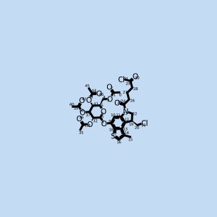 CC(=O)OC[C@H]1OC(Oc2cc3c(c4c(C)csc24)[C@H](CCl)CN3C(=O)CCCC(=O)Cl)[C@H](OC(C)=O)C(OC(C)=O)[C@H]1OC(C)=O